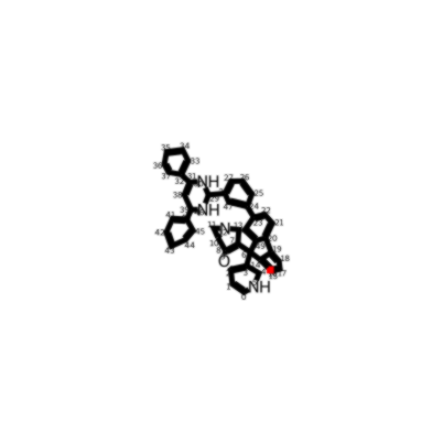 C1=CC2=C(CN1)C1(C3=C(O2)C2CN2C3)c2ccccc2-c2ccc(-c3cccc(C4NC(c5ccccc5)=CC(c5ccccc5)N4)c3)cc21